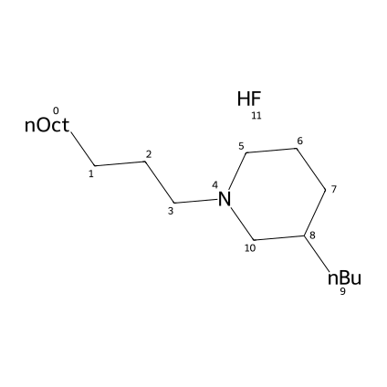 CCCCCCCCCCCN1CCCC(CCCC)C1.F